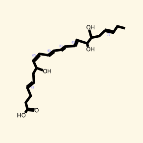 CC/C=C/CC(O)C(O)/C=C/C=C/C=C/C=C\C(O)C/C=C/CCC(=O)O